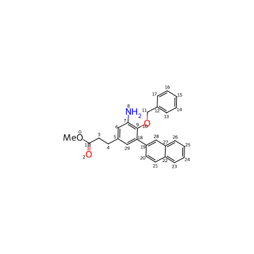 COC(=O)CCc1cc(N)c(OCc2ccccc2)c(-c2ccc3ccccc3c2)c1